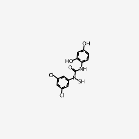 O=C(Nc1ccc(O)cc1O)N(S)c1cc(Cl)cc(Cl)c1